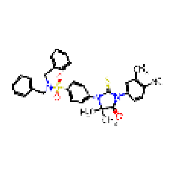 [C-]#[N+]c1ccc(N2C(=O)C(C)(C)N(c3ccc(S(=O)(=O)N(Cc4ccccc4)Cc4ccccc4)cc3)C2=S)cc1C